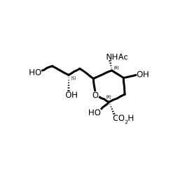 CC(=O)N[C@@H]1C(O)C[C@](O)(C(=O)O)OC1C[C@H](O)CO